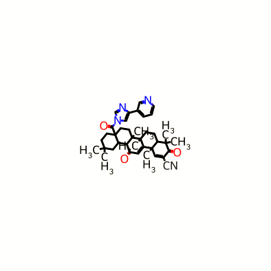 CC1(C)CCC2(C(=O)n3cnc(-c4cccnc4)c3)CCC3(C)C(C(=O)C=C4C5(C)C=C(C#N)C(=O)C(C)(C)C5CCC43C)C2C1